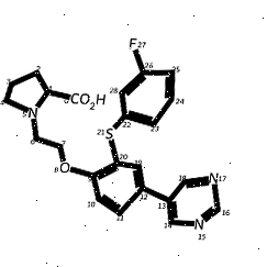 O=C(O)C1CCCN1CCOc1ccc(-c2cncnc2)cc1Sc1cccc(F)c1